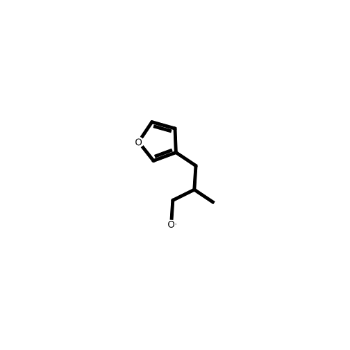 CC(C[O])Cc1ccoc1